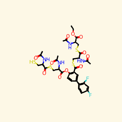 CCOC(=O)C(CSC(=O)C(CSC(=O)c1cc(-c2ccc(F)cc2F)ccc1OC(=O)C(CSC(=O)C(CS)NC(C)=O)NC(C)=O)NC(C)=O)NC(C)=O